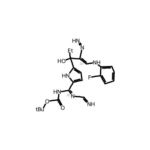 CCC(O)(/C(=C/Nc1ccccc1F)N=N)c1ccc(/C(=N\C=N)NC(=O)OC(C)(C)C)[nH]1